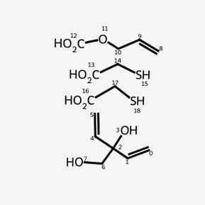 C=CC(O)(C=C)CO.C=CCOC(=O)O.O=C(O)CS.O=C(O)CS